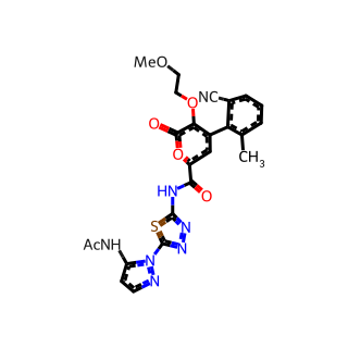 COCCOc1c(-c2c(C)cccc2C#N)cc(C(=O)Nc2nnc(-n3nccc3NC(C)=O)s2)oc1=O